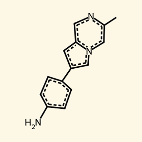 Cc1cn2cc(-c3ccc(N)cc3)cc2cn1